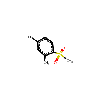 CCc1ccc(S(C)(=O)=O)c(C)c1